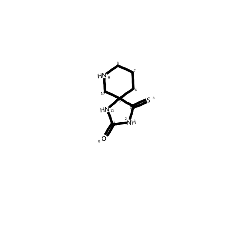 O=C1NC(=S)C2(CCCNC2)N1